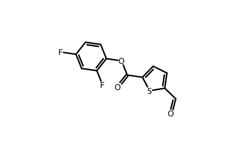 O=Cc1ccc(C(=O)Oc2ccc(F)cc2F)s1